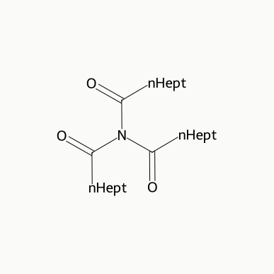 CCCCCCCC(=O)N(C(=O)CCCCCCC)C(=O)CCCCCCC